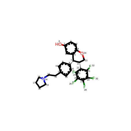 Oc1ccc2c(c1)[C@@H](c1ccc(CCN3CCCC3)cc1)[C@@H](c1c(F)c(F)c(F)c(F)c1F)CO2